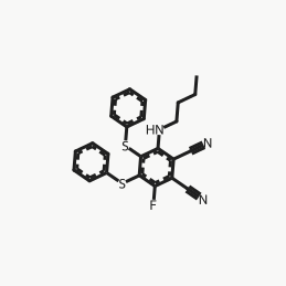 CCCCNc1c(C#N)c(C#N)c(F)c(Sc2ccccc2)c1Sc1ccccc1